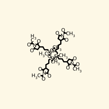 CC(=O)N1C(=O)CC(CCC[Si]2(C)C[Si](C)(CCCC3CC(=O)N(C(C)=O)C3=O)O[Si](C)(CCCC3CC(=O)N(C(C)=O)C3=O)O[Si](C)(CCCC3CC(=O)N(C(C)=O)C3=O)O2)C1=O